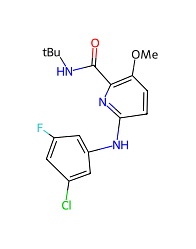 COc1ccc(Nc2cc(F)cc(Cl)c2)nc1C(=O)NC(C)(C)C